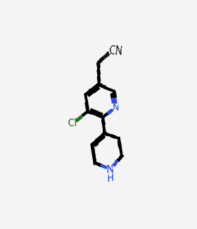 N#CCc1cnc(C2=CCNCC2)c(Cl)c1